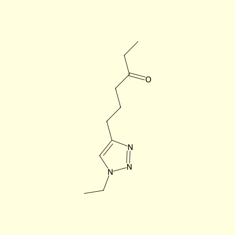 CCC(=O)CCCc1cn(CC)nn1